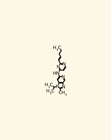 CCC/C=C/c1nccc(Nc2cc3c(cn2)nc(C)n3C(C)C)n1